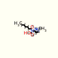 CCCCCCC(=O)N(C(=O)O)c1ccn(C)n1